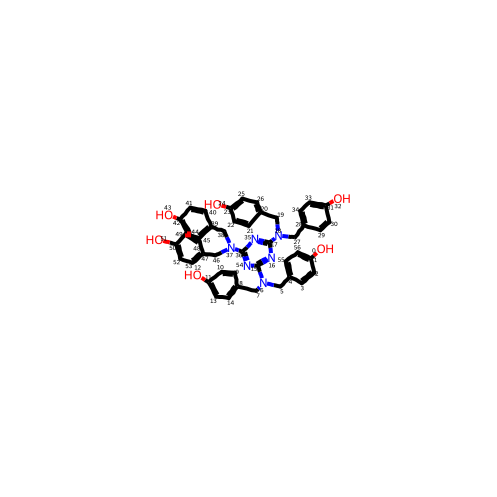 Oc1ccc(CN(Cc2ccc(O)cc2)c2nc(N(Cc3ccc(O)cc3)Cc3ccc(O)cc3)nc(N(Cc3ccc(O)cc3)Cc3ccc(O)cc3)n2)cc1